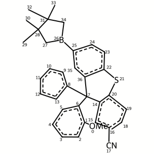 COc1ccccc1C1(c2ccccc2)c2cc(C#N)ccc2Sc2ccc(B3CC(C)(C)C(C)(C)C3)cc21